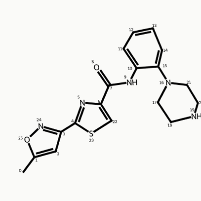 Cc1cc(-c2nc(C(=O)Nc3ccccc3N3CCNCC3)cs2)no1